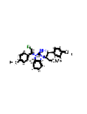 COCC(Cc1ccc(C)cc1)n1c(=N)n(C(CF)c2ccc(C)cc2)c2ccccc21